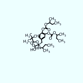 CCC(C)N[C@@](Cc1ccc(OC(=O)OC(C)CC)c(OC(=O)OC(C)CC)c1)(OC(=O)C(C)(C)C)C(=O)O